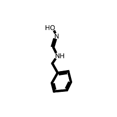 ON=CNCc1ccccc1